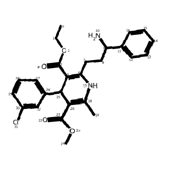 CCOC(=O)C1=C(CCC(N)c2ccccc2)NC(C)=C(C(=O)OC)C1c1cccc(Cl)c1